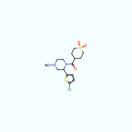 N#CN1CCN(C(=O)C2CCS(=O)(=O)CC2)C(c2ccc(Cl)s2)C1